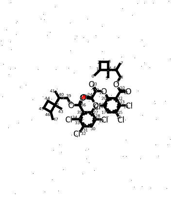 CC1CCC1(C)C(C)COC(=O)c1c(Cl)c(Cl)cc(Cl)c1OC(=O)C(=O)Oc1c(Cl)cc(Cl)c(Cl)c1C(=O)OCC(C)C1(C)CCC1C